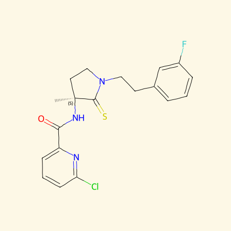 C[C@]1(NC(=O)c2cccc(Cl)n2)CCN(CCc2cccc(F)c2)C1=S